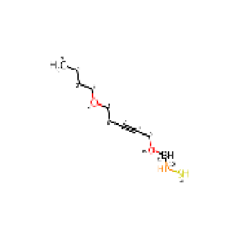 CCCCOCCC#CCOBPS